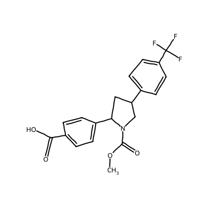 COC(=O)N1CC(c2ccc(C(F)(F)F)cc2)CC1c1ccc(C(=O)O)cc1